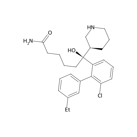 CCc1cccc(-c2c(Cl)cccc2[C@](O)(CCCCC(N)=O)[C@@H]2CCCNC2)c1